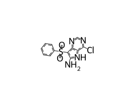 Nc1[nH]c2c(Cl)ncnc2c1S(=O)(=O)c1ccccc1